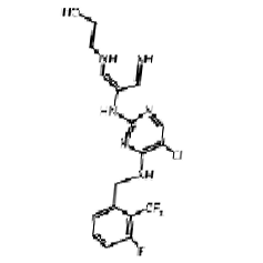 N=C/C(=C\NCCO)Nc1ncc(Cl)c(NCc2cccc(F)c2C(F)(F)F)n1